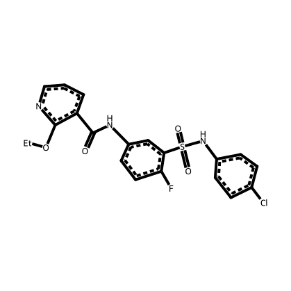 CCOc1ncccc1C(=O)Nc1ccc(F)c(S(=O)(=O)Nc2ccc(Cl)cc2)c1